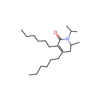 CCCCCCC1=C(CCCCCC)C(=O)N(C(C)C)C(C)C1